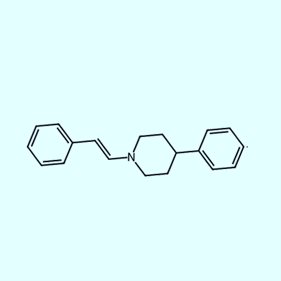 [c]1ccc(C2CCN(C=Cc3ccccc3)CC2)cc1